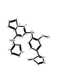 CCOc1cc(-c2nncn2C)ccc1Nc1nc(Nc2cccnc2)c2cccn2n1